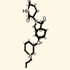 CCCN1CCCC(Oc2ccc3c(c2)CN(C2CCC(=O)NC2=O)C3=O)C1